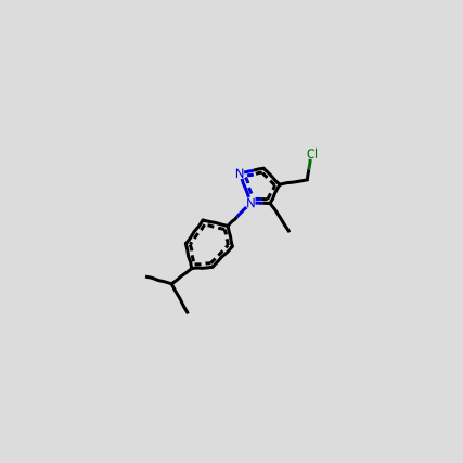 Cc1c(CCl)cnn1-c1ccc(C(C)C)cc1